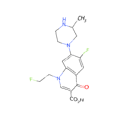 CC1CN(c2cc3c(cc2F)c(=O)c(C(=O)O)cn3CCF)CCN1